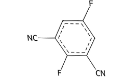 N#Cc1cc(F)cc(C#N)c1F